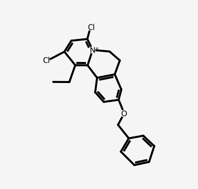 CCc1c(Cl)cc(Cl)[n+]2c1-c1ccc(OCc3ccccc3)cc1CC2